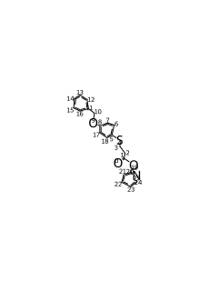 O=C(CCSc1ccc(OCc2ccccc2)cc1)Oc1ccccn1